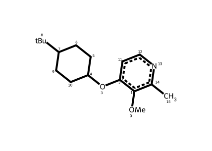 COc1c(OC2CCC(C(C)(C)C)CC2)ccnc1C